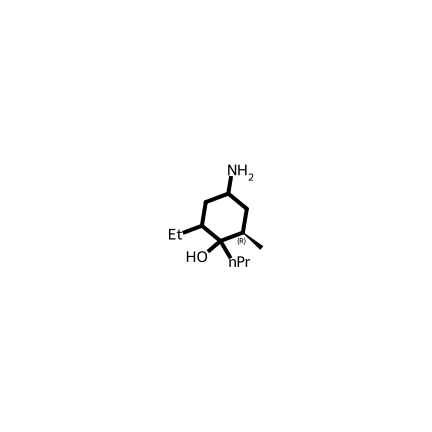 CCCC1(O)C(CC)CC(N)C[C@H]1C